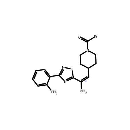 CCC(=O)N1CCC(/C=C(/N)c2nc(-c3ccccc3P)no2)CC1